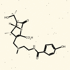 C[C@@H](O)[C@H]1C(=O)N2C(C(=O)O)=C(CN(C)CCNC(=O)c3ccc(O)cc3)[C@H](C)[C@H]12